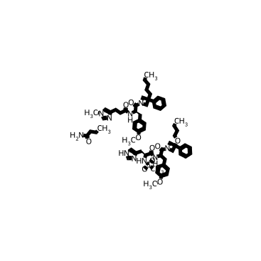 CCCC(N)=O.CCCCCC1(c2ccccc2)CN(C(=O)[C@@H](Cc2ccc(OC)cc2)NC(=O)CCc2cn(C)cn2)C1.CCCCOC1(c2ccccc2)CN(C(=O)C(Cc2ccc(OC)cc2)NC(=O)[C@H](Cc2c[nH]cn2)NS(C)(=O)=O)C1